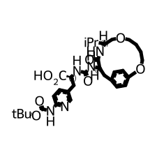 CC(C)[C@H]1COCCCCOc2ccc(cc2)C[C@@H](NC(=O)N[C@@H](Cc2ccc(NC(=O)OC(C)(C)C)nc2)C(=O)O)C(=O)N1